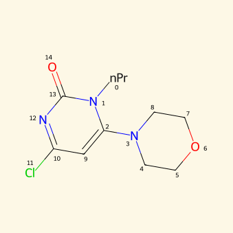 CCCn1c(N2CCOCC2)cc(Cl)nc1=O